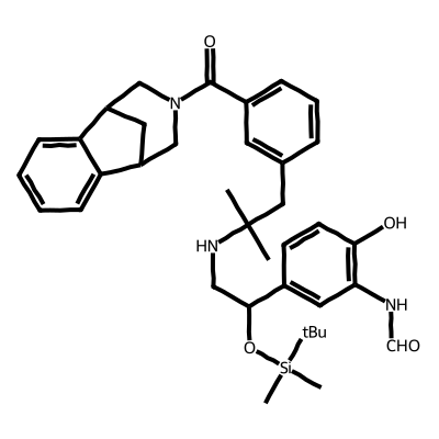 CC(C)(Cc1cccc(C(=O)N2CC3CC(C2)c2ccccc23)c1)NCC(O[Si](C)(C)C(C)(C)C)c1ccc(O)c(NC=O)c1